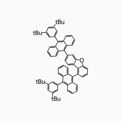 CC(C)(C)c1cc(-c2c3ccccc3c(-c3ccc4c(c3)oc3cccc(-c5c6ccccc6c(-c6cc(C(C)(C)C)cc(C(C)(C)C)c6)c6ccccc56)c34)c3ccccc23)cc(C(C)(C)C)c1